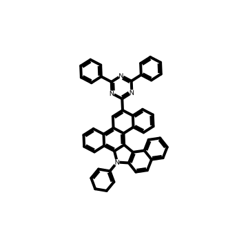 C1=CC(n2c3ccc4ccccc4c3c3c4c5ccccc5c(-c5nc(-c6ccccc6)nc(-c6ccccc6)n5)cc4c4ccccc4c32)=CCC1